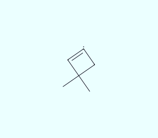 CC1(C)C=[C]C1